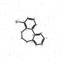 Brc1cccc2c1CCCc1ccccc1-2